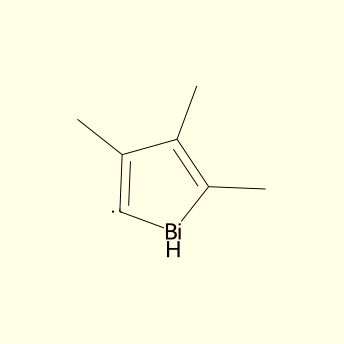 CC1=[C][BiH][C](C)=C1C